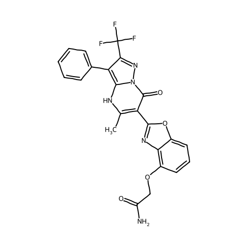 Cc1[nH]c2c(-c3ccccc3)c(C(F)(F)F)nn2c(=O)c1-c1nc2c(OCC(N)=O)cccc2o1